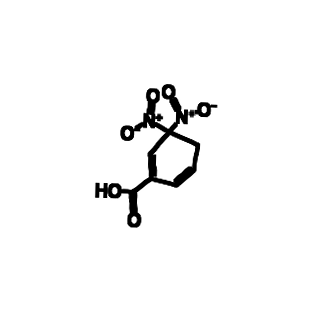 O=C(O)C1=CC([N+](=O)[O-])([N+](=O)[O-])CC=C1